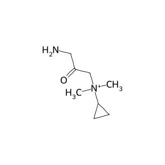 C[N+](C)(CC(=O)CN)C1CC1